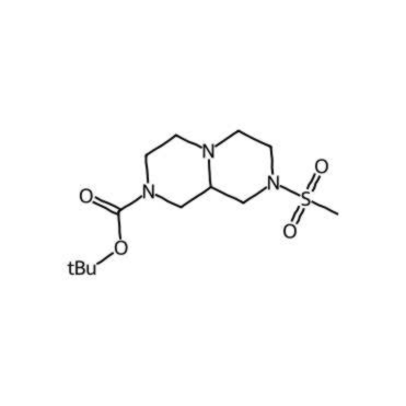 CC(C)(C)OC(=O)N1CCN2CCN(S(C)(=O)=O)CC2C1